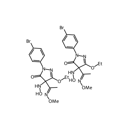 CCOC1=NN(c2ccc(Br)cc2)C(=O)C1(NO)C(C)=NOC.CCOC1=NN(c2ccc(Br)cc2)C(=O)C1(NO)C(C)=NOC